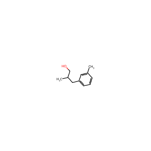 Cc1cccc(CC(C)CO)c1